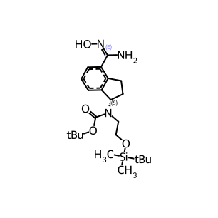 CC(C)(C)OC(=O)N(CCO[Si](C)(C)C(C)(C)C)[C@H]1CCc2c(/C(N)=N\O)cccc21